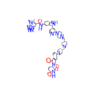 CC1=C(C(=O)Nc2ccc3[nH]nc(-c4ccnc(N5CCN(CC6CCN(CC7CCN(c8ccc9c(c8)C(=O)N(C8CCC(=O)NC8=O)C9=O)CC7)CC6)CC5)c4)c3c2)Cn2nnnc2N1C